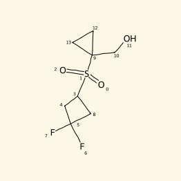 O=S(=O)(C1CC(F)(F)C1)C1(CO)CC1